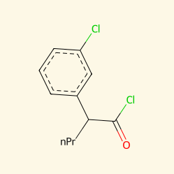 CCCC(C(=O)Cl)c1cccc(Cl)c1